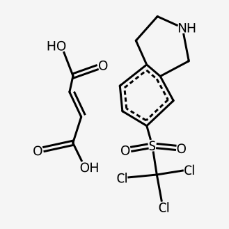 O=C(O)C=CC(=O)O.O=S(=O)(c1ccc2c(c1)CNCC2)C(Cl)(Cl)Cl